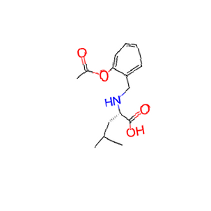 CC(=O)Oc1ccccc1CN[C@@H](CC(C)C)C(=O)O